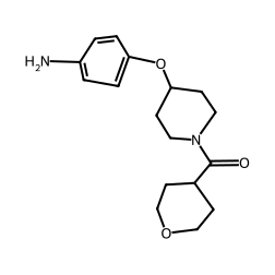 Nc1ccc(OC2CCN(C(=O)C3CCOCC3)CC2)cc1